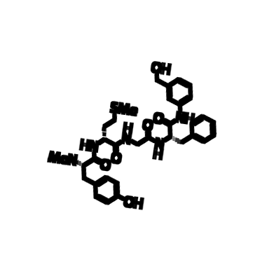 CN[C@@H](Cc1ccc(O)cc1)C(=O)N[C@H](CCSC)C(=O)NCC(=O)N[C@@H](Cc1ccccc1)C(=O)Nc1cccc(CO)c1